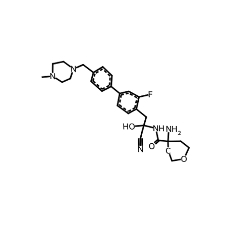 CN1CCN(Cc2ccc(-c3ccc(CC(O)(C#N)NC(=O)C4(N)CCOCC4)c(F)c3)cc2)CC1